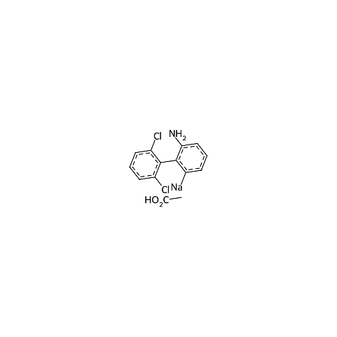 CC(=O)O.Nc1ccc[c]([Na])c1-c1c(Cl)cccc1Cl